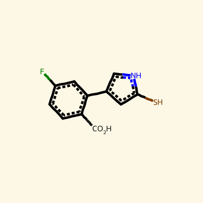 O=C(O)c1ccc(F)cc1-c1c[nH]c(S)c1